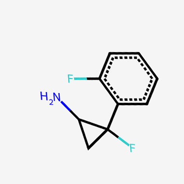 NC1CC1(F)c1ccccc1F